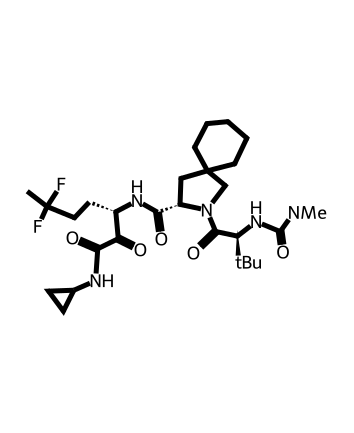 CNC(=O)N[C@H](C(=O)N1CC2(CCCCC2)C[C@H]1C(=O)N[C@@H](CCC(C)(F)F)C(=O)C(=O)NC1CC1)C(C)(C)C